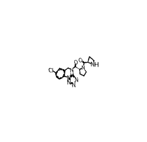 O=C(NCc1cc(Cl)ccc1-n1cnnn1)[C@@H]1CCCN1C(=O)C1CCN1